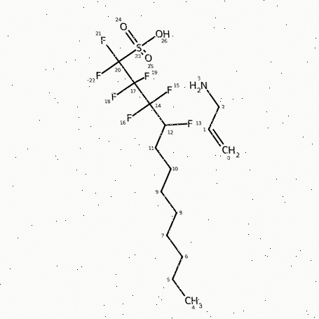 C=CCN.CCCCCCCCC(F)C(F)(F)C(F)(F)C(F)(F)S(=O)(=O)O